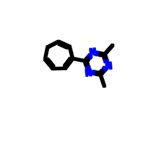 Cc1nc(C)nc(C2=CC=CCC=C2)n1